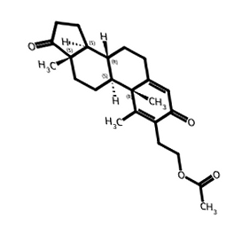 CC(=O)OCCC1=C(C)[C@@]2(C)C(=CC1=O)CC[C@@H]1[C@@H]2CC[C@]2(C)C(=O)CC[C@@H]12